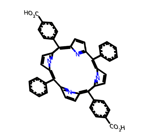 O=C(O)c1ccc(C2=C3C=CC(=N3)C(c3ccccc3)=C3C=CC(=N3)C(c3ccc(C(=O)O)cc3)=C3C=CC(=N3)C(c3ccccc3)=C3C=CC2=N3)cc1